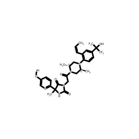 C/C=C\c1cc(C(O)(C(F)(F)F)C(F)(F)F)ccc1N1C[C@@H](C)N(C(=O)CN2C(=O)NC(C)(c3ccc(OC(C)C)cn3)C2=O)C[C@@H]1C